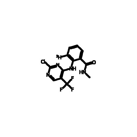 [2H]c1cccc(C(=O)NC)c1Nc1nc(Cl)ncc1C(F)(F)F